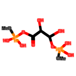 CO[PH](O)(O)OC(=O)C(O)C(O)O[PH](O)(O)OC